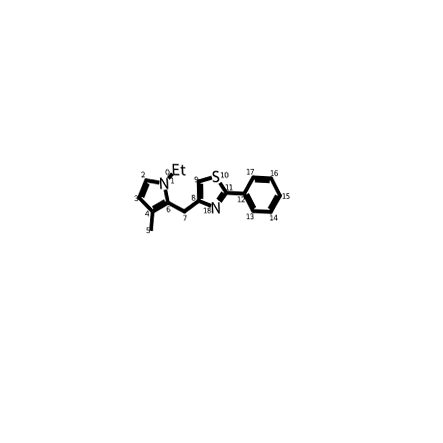 CCn1ccc(C)c1Cc1csc(-c2ccccc2)n1